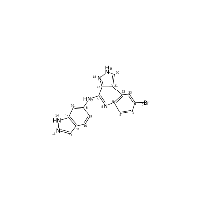 Brc1ccc2nc(Nc3ccc4cn[nH]c4c3)c3n[nH]cc3c2c1